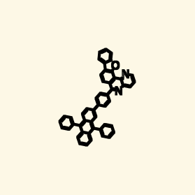 c1ccc(-c2c3ccccc3c(-c3ccccc3)c3cc(-c4ccc(-c5nc6cccnc6c6c5ccc5c7ccccc7oc56)cc4)ccc23)cc1